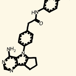 Nc1ncnc2c3c(n(-c4ccc(CC(=O)Nc5ccc(C(F)(F)F)nc5)cc4)c12)CCC3